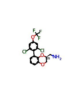 NC[C@H]1COc2cccc(-c3c(Cl)cc(OC(F)(F)F)cc3Cl)c2O1